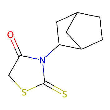 O=C1CSC(=S)N1C1CC2CCC1C2